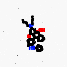 CCCC[N+](CCCC)=c1ccc2c(-c3ccccc3C(=O)O)c3cc(Nc4ccccc4)c(C)cc3oc-2c1